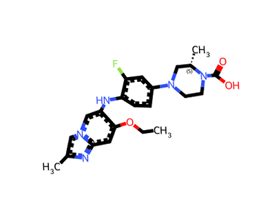 CCOc1cc2nc(C)cn2cc1Nc1ccc(N2CCN(C(=O)O)[C@@H](C)C2)cc1F